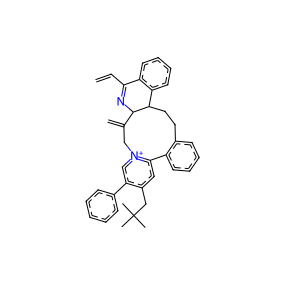 C=CC1=NC2C(=C)C[n+]3cc(-c4ccccc4)c(CC(C)(C)C)cc3-c3ccccc3CCC2c2ccccc21